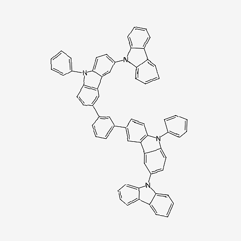 c1ccc(-n2c3ccc(-c4cccc(-c5ccc6c(c5)c5cc(-n7c8ccccc8c8ccccc87)ccc5n6-c5ccccc5)c4)cc3c3cc(-n4c5ccccc5c5ccccc54)ccc32)cc1